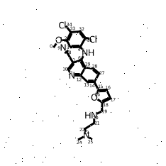 COc1cc(Nc2c(C#N)cnc3cc(-c4ccc(CNCCN(C)C)o4)ccc23)c(Cl)cc1Cl